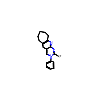 CC(C)C1=NC2=NC3=C(CCCCC3)CC2=CN1c1ccccc1